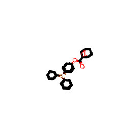 O=C(Oc1ccc([S+](c2ccccc2)c2ccccc2)cc1)C1CC2CCC1O2